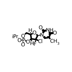 Cc1cn([C@@H]2O[C@@H]3CO[P@](=O)(OC(C)C)O[C@H]3[C@@]2(F)Cl)c(=O)[nH]c1=O